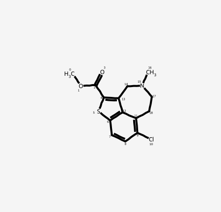 COC(=O)c1sc2ccc(Cl)c3c2c1CN(C)CC3